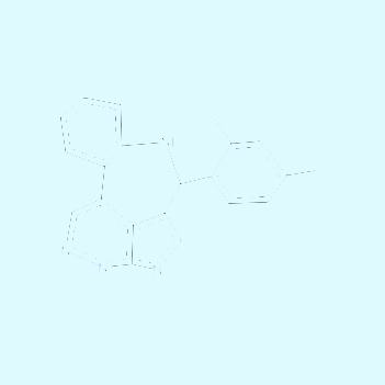 Clc1ccc(C2Nc3ccccc3-c3cnnc4[nH]cc2c34)c(Cl)c1